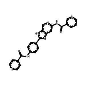 O=C(Nc1ccc(-c2nc3cc(NC(=O)c4cccnc4)ncc3[nH]2)cc1)c1ccncc1